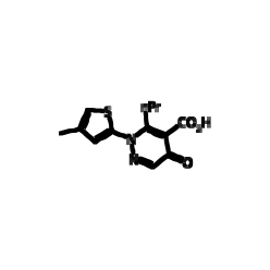 CCCc1c(C(=O)O)c(=O)cnn1-c1cc(C)cs1